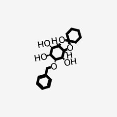 O[C@H]1[C@H](O)[C@H]2OC3(CCCCC3)O[C@H]2[C@@H](O)[C@@H]1OCc1ccccc1